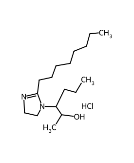 CCCCCCCCC1=NCCN1C(CCC)C(C)O.Cl